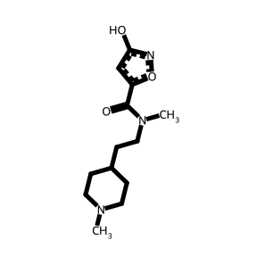 CN1CCC(CCN(C)C(=O)c2cc(O)no2)CC1